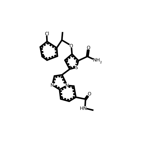 CNC(=O)c1ccc2ncc(-c3cc(OC(C)c4ccccc4Cl)c(C(N)=O)s3)n2c1